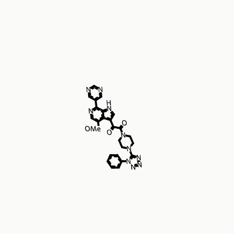 COc1cnc(-c2cncnc2)c2[nH]cc(C(=O)C(=O)N3CCN(c4nnnn4-c4ccccc4)CC3)c12